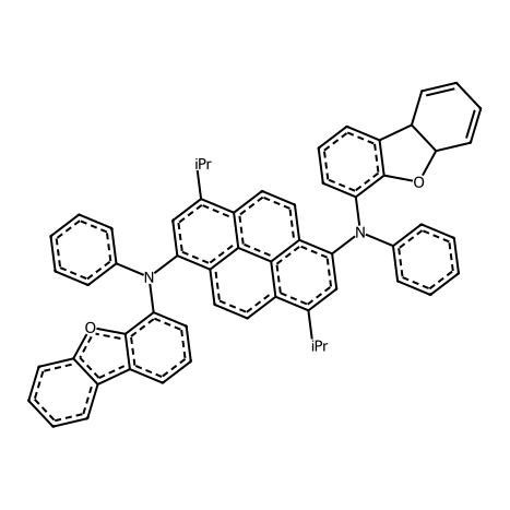 CC(C)c1cc(N(c2ccccc2)c2cccc3c2OC2C=CC=CC32)c2ccc3c(C(C)C)cc(N(c4ccccc4)c4cccc5c4oc4ccccc45)c4ccc1c2c34